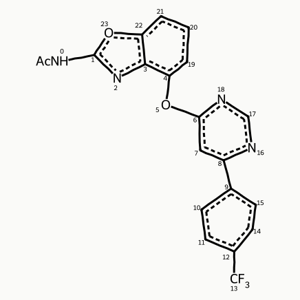 CC(=O)Nc1nc2c(Oc3cc(-c4ccc(C(F)(F)F)cc4)ncn3)cccc2o1